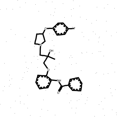 CC(O)(COc1ccccc1NC(=O)c1ccccc1)CN1CCC(Oc2ccc(F)cc2)C1